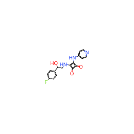 O=c1c(NCC(O)c2ccc(F)cc2)c(Nc2ccncc2)c1=O